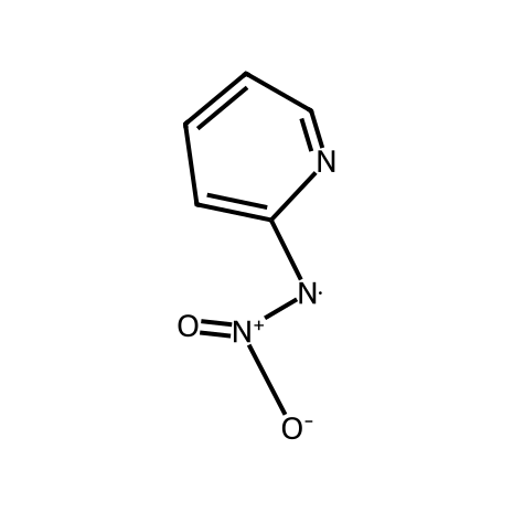 O=[N+]([O-])[N]c1ccccn1